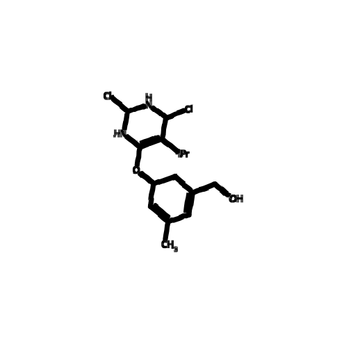 CC1=CC(OC2=C(C(C)C)C(Cl)NC(Cl)N2)CC(CO)=C1